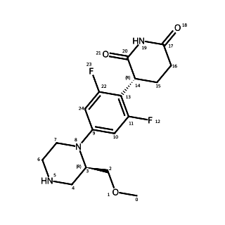 COC[C@H]1CNCCN1c1cc(F)c([C@H]2CCC(=O)NC2=O)c(F)c1